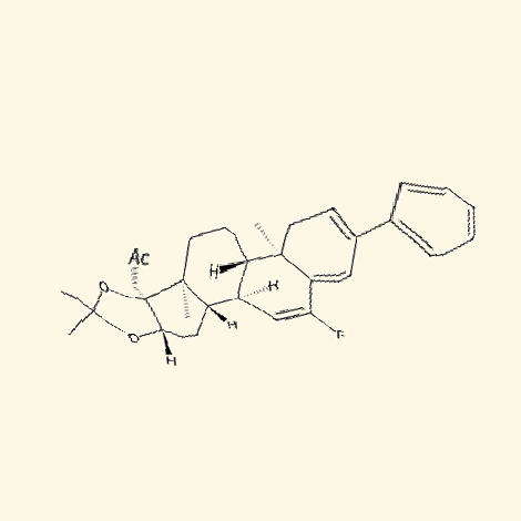 CC(=O)[C@@]12OC(C)(C)O[C@H]1C[C@H]1[C@@H]3C=C(F)C4=CC(c5ccccc5)=CC[C@]4(C)[C@H]3CC[C@@]12C